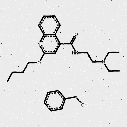 CCCCOc1cc(C(=O)NCCN(CC)CC)c2ccccc2n1.OCc1ccccc1